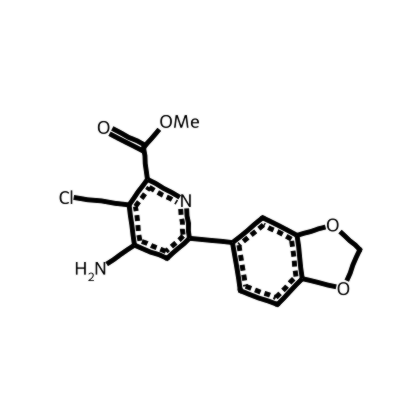 COC(=O)c1nc(-c2ccc3c(c2)OCO3)cc(N)c1Cl